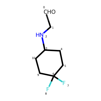 O=CCNC1CCC(F)(F)CC1